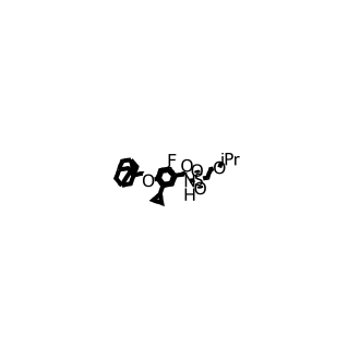 CC(C)OCCS(=O)(=O)NC(=O)c1cc(C2CC2)c(OCC23CC4CC(CC(C4)C2)C3)cc1F